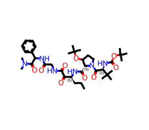 CCC[C@H](NC(=O)[C@@H]1C(OC(C)(C)C)CCN1C(=O)[C@@H](NC(=O)OC(C)(C)C)C(C)(C)C)C(=O)C(=O)NCC(=O)NC(C(=O)N(C)C)c1ccccc1